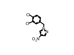 O=[N+]([O-])c1cnn(Cc2ccc(Cl)c(Cl)c2)c1